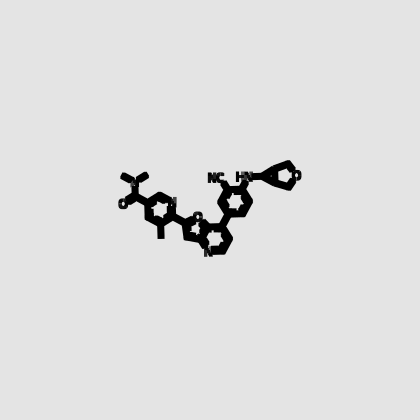 Cc1cc(C(=O)N(C)C)cnc1-c1cc2nccc(-c3ccc(NC4C5COCC54)c(C#N)c3)c2o1